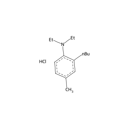 CCCCc1cc(C)ccc1N(CC)CC.Cl